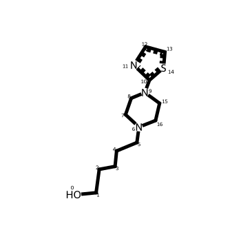 OCCCCCN1CCN(c2nccs2)CC1